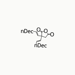 CCCCCCCCCC/C=C/C1(/C=C/CCCCCCCCCC)CC(=O)OC1=O